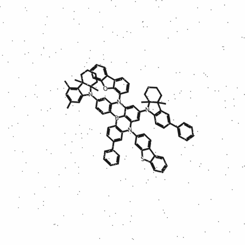 Cc1cc(C)c2c(c1)N(c1ccc3c(c1)N(c1cccc4c1oc1ccccc14)c1cc(N4c5ccc(-c6ccccc6)cc5C5(C)CCCCC45C)cc4c1B3c1ccc(-c3ccccc3)cc1N4c1ccc3c(c1)sc1ccccc13)C1(C)CCCCC21C